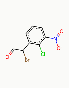 O=CC(Br)c1cccc([N+](=O)[O-])c1Cl